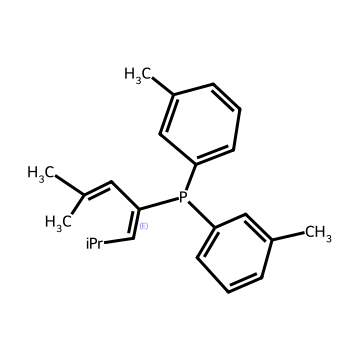 CC(C)=C/C(=C\C(C)C)P(c1cccc(C)c1)c1cccc(C)c1